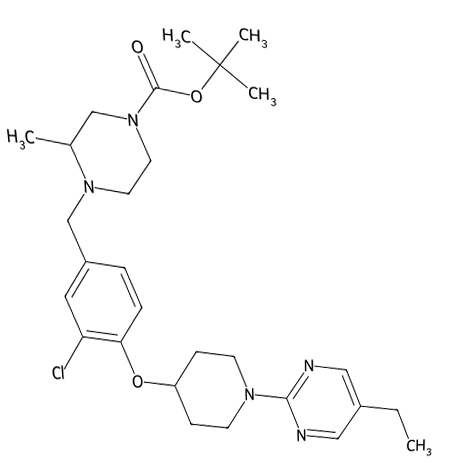 CCc1cnc(N2CCC(Oc3ccc(CN4CCN(C(=O)OC(C)(C)C)CC4C)cc3Cl)CC2)nc1